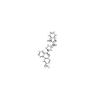 Cc1cccc(-c2ccccc2C(=O)N2CC[C@@H](Nc3nc4ccccc4[nH]3)C2)c1